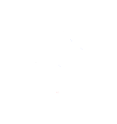 CC(C)(C)c1ccc(CS(=O)(=O)Nc2cc(C(=O)Nc3ccc(O)c(O)c3)ccn2)cc1